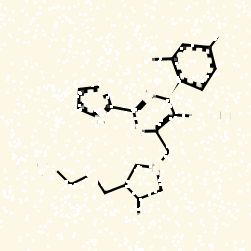 CCOC(=O)C1=C(CN2CC(F)C(CSCC(=O)O)C2)NC(c2nccs2)=N[C@H]1c1ccc(F)cc1Cl